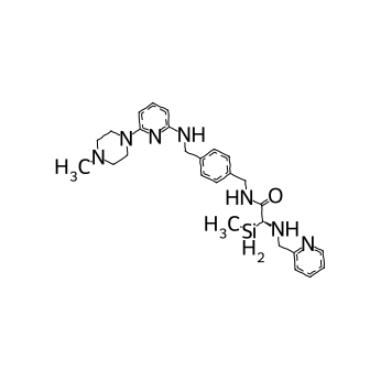 C[SiH2][C@H](NCc1ccccn1)C(=O)NCc1ccc(CNc2cccc(N3CCN(C)CC3)n2)cc1